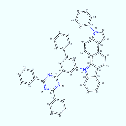 c1ccc(-c2cc(-c3nc(-c4ccccc4)nc(-c4ccccc4)n3)cc(-n3c4ccccc4c4ccc5c6ccn(-c7ccccc7)c6ccc5c43)c2)cc1